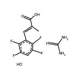 C/C(=C\c1c(F)c(F)cc(F)c1F)C(=O)O.Cl.N=C(N)N